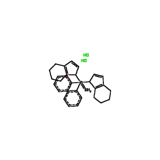 Cl.Cl.[SiH2]=[Zr]([c]1ccccc1)([c]1ccccc1)([CH]1C=CC2=C1CCCC2)[CH]1C=CC2=C1CCCC2